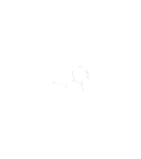 CNCc1cnccc1Cl